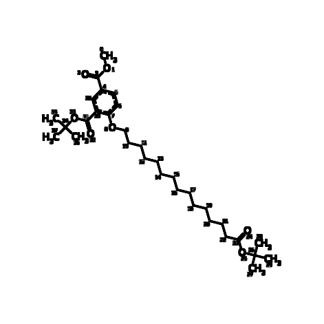 COC(=O)c1ccc(OCCCCCCCCCCCCCCC(=O)OC(C)(C)C)c(C(=O)OC(C)(C)C)c1